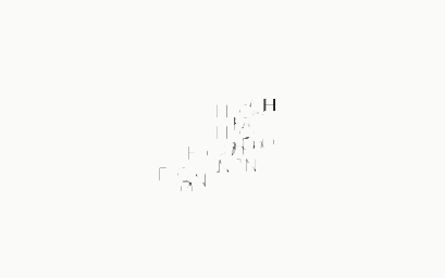 CC1(C)[C@@H]2CC3OB([C@@H]4CCCN4C(=O)CN(C(=O)C(F)(F)F)[C@@H]4CCN(C(=O)C(F)(F)F)C4)O[C@@]3(C)[C@H]1C2